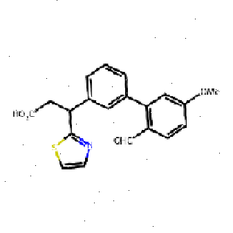 COc1ccc(C=O)c(-c2cccc(C(CC(=O)O)c3nccs3)c2)c1